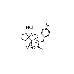 COC(=O)[C@H](Cc1ccc(O)cc1)NC(=O)C1(N)CCCC1.Cl